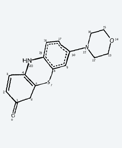 O=C1C=CC2=C(C1)Sc1cc(N3CCOCC3)ccc1N2